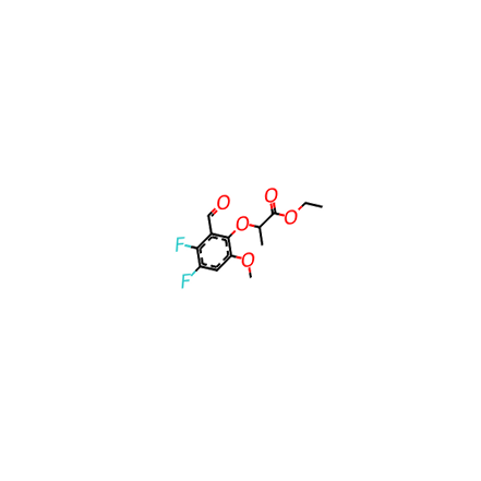 CCOC(=O)C(C)Oc1c(OC)cc(F)c(F)c1C=O